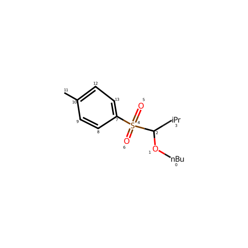 CCCCOC(C(C)C)S(=O)(=O)c1ccc(C)cc1